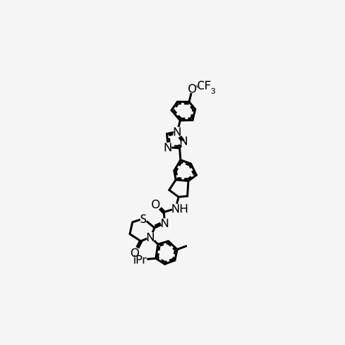 Cc1ccc(C(C)C)c(N2C(=O)CCS/C2=N\C(=O)NC2Cc3ccc(-c4ncn(-c5ccc(OC(F)(F)F)cc5)n4)cc3C2)c1